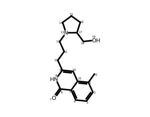 Cc1cccc2c(=O)[nH]c(CCCN3CCCC3CO)cc12